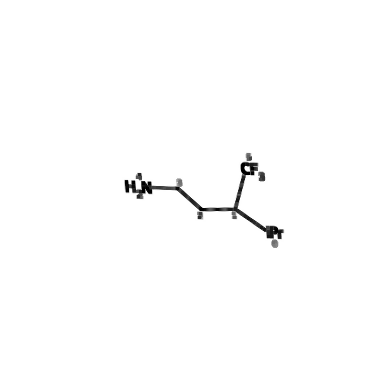 CC(C)C(CCN)C(F)(F)F